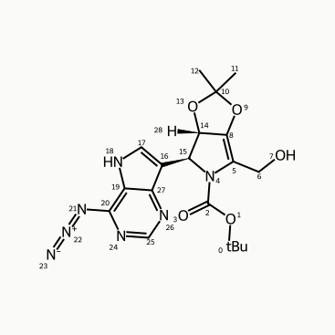 CC(C)(C)OC(=O)N1C(CO)=C2OC(C)(C)O[C@H]2[C@@H]1c1c[nH]c2c(N=[N+]=[N-])ncnc12